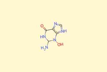 NC1NC(=O)c2nc[nH]c2N1O